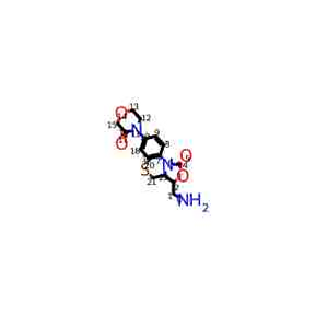 NCC1OC(=O)N2c3ccc(N4CCOCC4=O)cc3SCC12